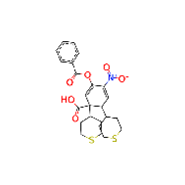 O=C(OC1=CC(C(=O)O)(C2CCSCC2)C(C2CCSCC2)C=C1[N+](=O)[O-])c1ccccc1